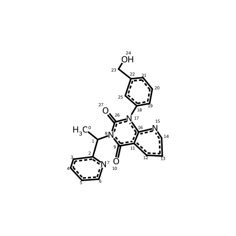 CC(c1ccccn1)n1c(=O)c2cccnc2n(-c2cccc(CO)c2)c1=O